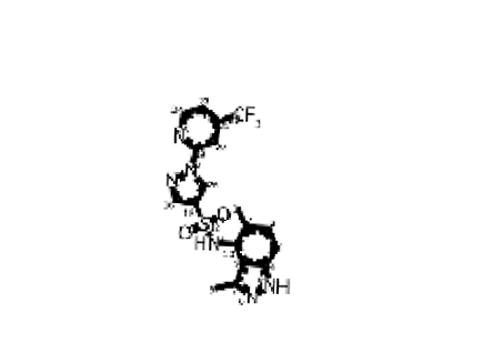 Cc1ccc2[nH]nc(C)c2c1NS(=O)(=O)c1cnn(-c2cc(C(F)(F)F)ccn2)c1